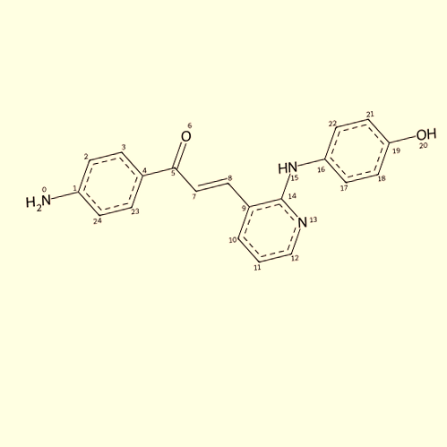 Nc1ccc(C(=O)/C=C/c2cccnc2Nc2ccc(O)cc2)cc1